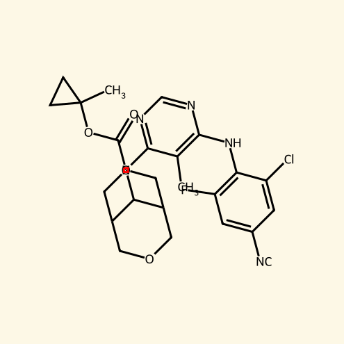 [C-]#[N+]c1cc(F)c(Nc2ncnc(OC3C4COCC3CN(C(=O)OC3(C)CC3)C4)c2C)c(Cl)c1